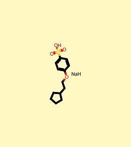 O=S(=O)(O)c1ccc(OCCC2CCCC2)cc1.[NaH]